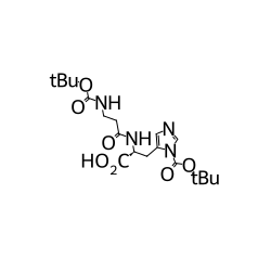 CC(C)(C)OC(=O)NCCC(=O)N[C@@H](Cc1cncn1C(=O)OC(C)(C)C)C(=O)O